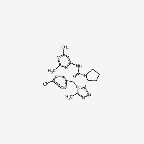 Cc1cc(NC(=O)N2CCC[C@@H]2c2nnc(C)n2Cc2ccc(Cl)cc2)nc(C)n1